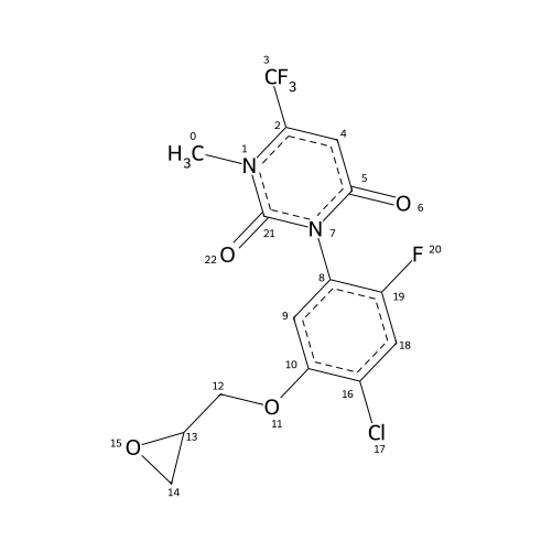 Cn1c(C(F)(F)F)cc(=O)n(-c2cc(OCC3CO3)c(Cl)cc2F)c1=O